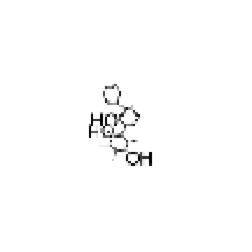 Cc1c(C)c(O)c(-c2cccc(-c3ccccc3)c2O)c(C)c1O